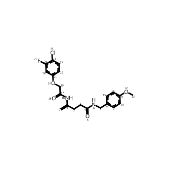 C=C(CCC(=O)NCc1ccc(OC)cc1)NC(=O)COc1ccc(Cl)c(F)c1